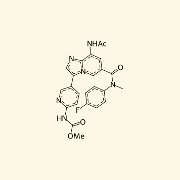 COC(=O)Nc1ccc(-c2cnc3c(NC(C)=O)cc(C(=O)N(C)c4ccc(F)cc4)cn23)cn1